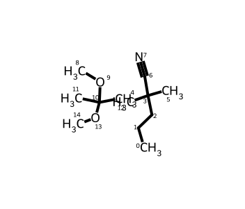 CCCC(C)(C)C#N.COC(C)(C)OC